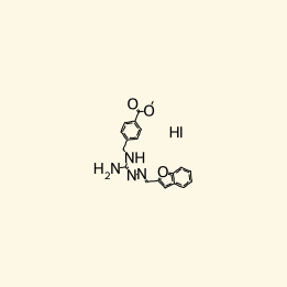 COC(=O)c1ccc(CNC(N)=NN=Cc2cc3ccccc3o2)cc1.I